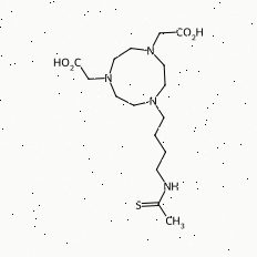 CC(=S)NCCCCN1CCN(CC(=O)O)CCN(CC(=O)O)CC1